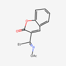 CCC(=NOC(C)=O)c1cc2ccccc2oc1=O